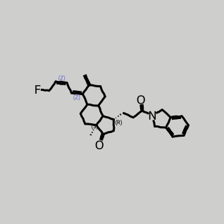 C=C1CCC2C(CC[C@]3(C)C(=O)C[C@@H](CCC(=O)N4Cc5ccccc5C4)C23)/C1=C/C=C\CF